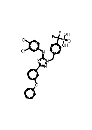 O=P(O)(O)C(F)(F)c1ccc(Cn2nc(-c3cccc(Oc4ccccc4)c3)sc2=Nc2ccc(Cl)c(Cl)c2)cc1